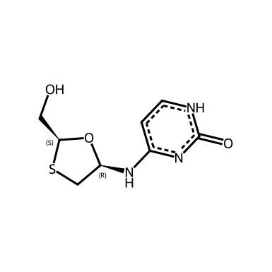 O=c1nc(N[C@H]2CS[C@@H](CO)O2)cc[nH]1